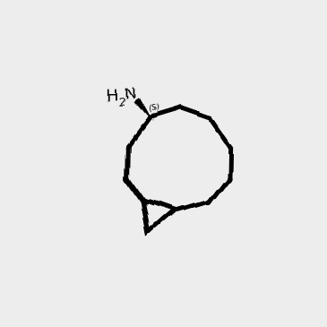 N[C@H]1CCCCCC2CC2CC1